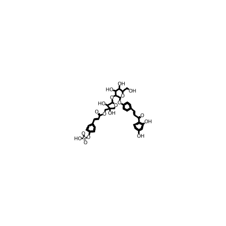 O=C(/C=C/c1ccc(OS(=O)(=O)O)cc1)OCC1(O)COC(OC2C(Oc3ccc(C=CC(=O)c4ccc(O)cc4O)cc3)OC(CO)C(O)C2O)C1O